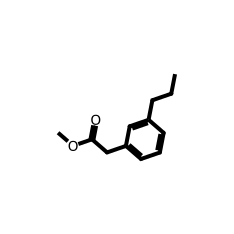 CCCc1cccc(CC(=O)OC)c1